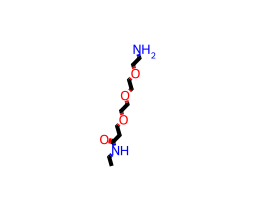 CCNC(=O)CCOCCOCCOCCN